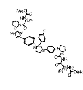 COC(=O)N[C@H](C(=O)NC(=O)[C@@H]1CCCN1c1ccc([C@H]2CC[C@H](c3ccc(-c4c[nH]c([C@@H]5CCCN5C(=O)[C@@H](NC(=O)OC)C(C)C)n4)cc3)N2c2ccc(F)cc2)cc1)C(C)C